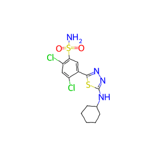 NS(=O)(=O)c1cc(-c2nnc(NC3CCCCC3)s2)c(Cl)cc1Cl